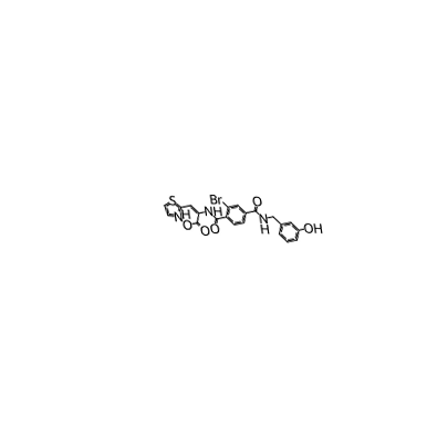 O=C(O)C(=Cc1nccs1)NC(=O)c1ccc(C(=O)NCc2cccc(O)c2)cc1Br